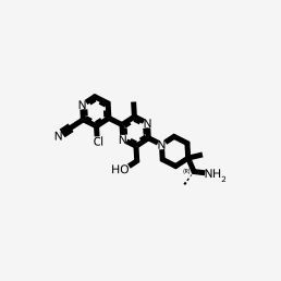 Cc1nc(N2CCC(C)([C@@H](C)N)CC2)c(CO)nc1-c1ccnc(C#N)c1Cl